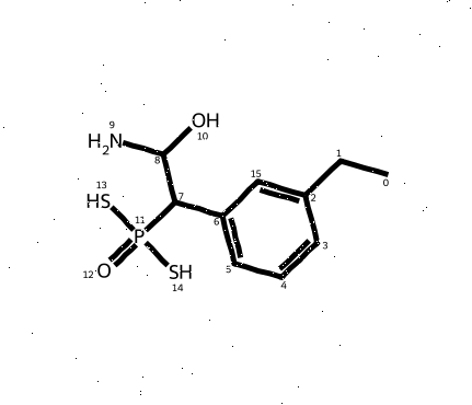 CCc1cccc(C(C(N)O)P(=O)(S)S)c1